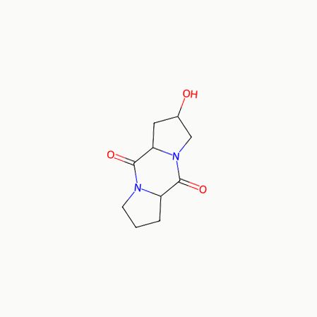 O=C1C2CC(O)CN2C(=O)C2CCCN12